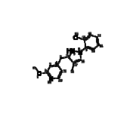 COc1cc(CC2NN(c3ccccc3Cl)C=C2C)ccn1